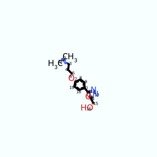 CN(C)CCCOc1ccc(-c2nnc(CO)o2)cc1